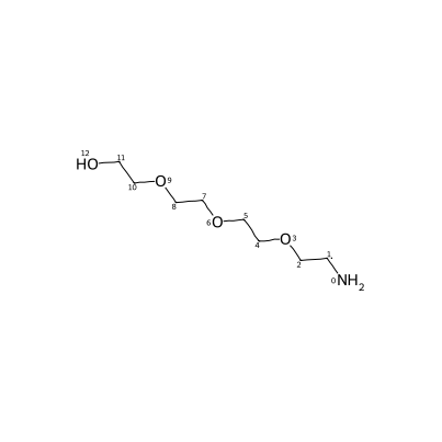 N[CH]COCCOCCOCCO